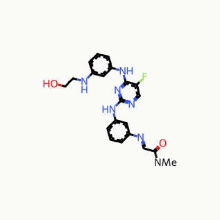 CNC(=O)C=Nc1cccc(Nc2ncc(F)c(Nc3cccc(NCCO)c3)n2)c1